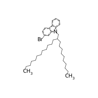 CCCCCCCCCCCCC(CCCCCCCCCC)Cn1c2ccccc2c2ccc(Br)cc21